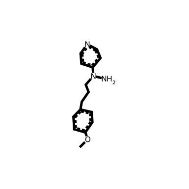 COc1ccc(CCCN(N)c2ccncc2)cc1